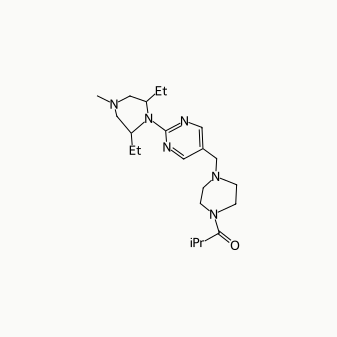 CCC1CN(C)CC(CC)N1c1ncc(CN2CCN(C(=O)C(C)C)CC2)cn1